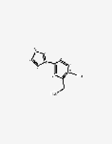 NCc1nc(-c2ccsc2)ccc1F